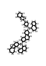 c1ccc2c(N(c3ccc(-c4nc5ccccc5s4)cc3)c3ccc4c(ccc5cc(N(c6ccc7oc8ccccc8c7c6)c6cccc7ccccc67)ccc54)c3)cccc2c1